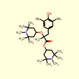 CN1C(C)(C)CC(OC(=O)C(C)(Cc2cc(C(C)(C)C)c(O)c(C(C)(C)C)c2)OC2CC(C)(C)N(C)C(C)(C)C2)CC1(C)C